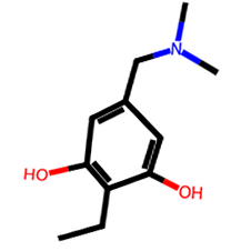 CCc1c(O)cc(CN(C)C)cc1O